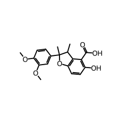 COc1ccc(C2(C)Oc3ccc(O)c(C(=O)O)c3C2C)cc1OC